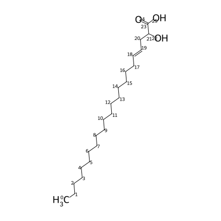 CCCCCCCCCCCCCCCCCC/C=C/CC(O)C(=O)O